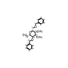 CCS[C@@H]1O[C@H](COCc2ccccc2)[C@H](OC(C)=O)[C@H](OC(C)=O)[C@H]1OCc1ccccc1